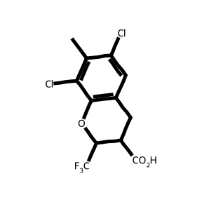 Cc1c(Cl)cc2c(c1Cl)OC(C(F)(F)F)C(C(=O)O)C2